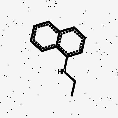 CCNc1c[c]cc2ccccc12